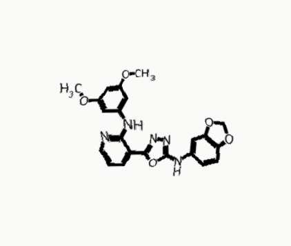 COc1cc(Nc2ncccc2-c2nnc(Nc3ccc4c(c3)OCO4)o2)cc(OC)c1